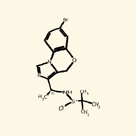 C[C@H](N[S+]([O-])C(C)(C)C)c1ncn2c1COc1cc(Br)ccc1-2